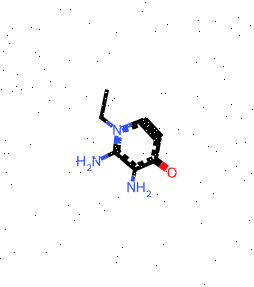 CCn1c#cc(=O)c(N)c1N